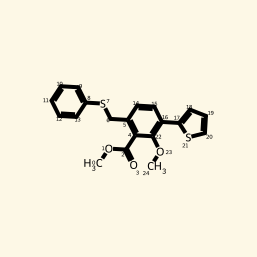 COC(=O)c1c(CSc2ccccc2)ccc(-c2cccs2)c1OC